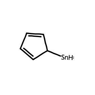 [SnH][CH]1C=CC=C1